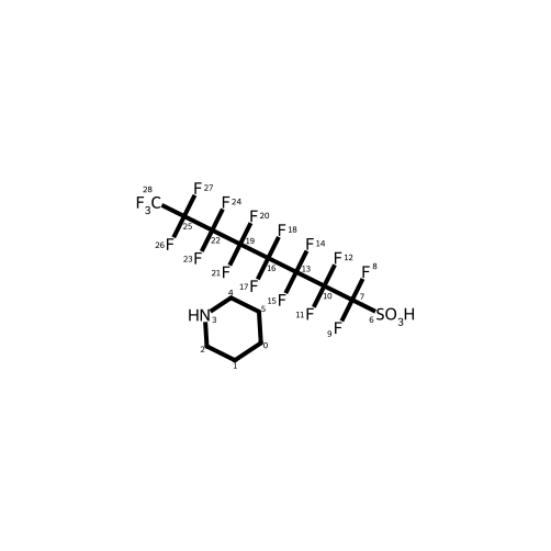 C1CCNCC1.O=S(=O)(O)C(F)(F)C(F)(F)C(F)(F)C(F)(F)C(F)(F)C(F)(F)C(F)(F)C(F)(F)F